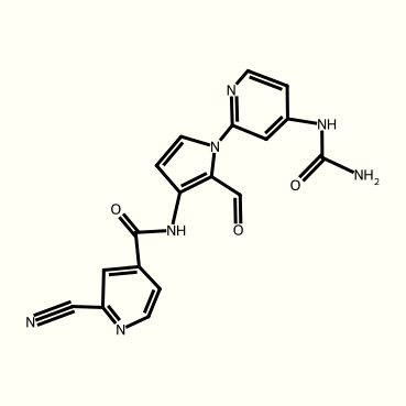 N#Cc1cc(C(=O)Nc2ccn(-c3cc(NC(N)=O)ccn3)c2C=O)ccn1